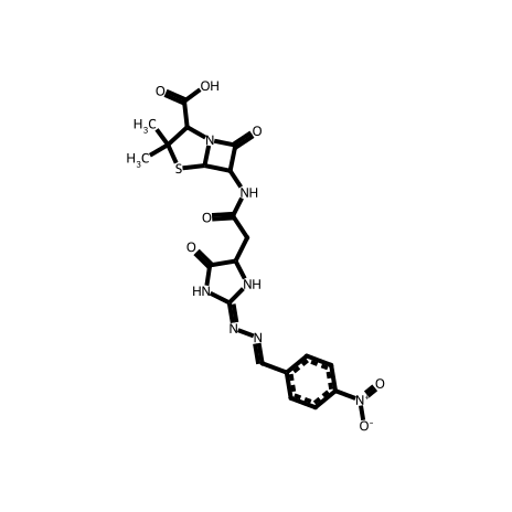 CC1(C)SC2C(NC(=O)CC3N/C(=N\N=C\c4ccc([N+](=O)[O-])cc4)NC3=O)C(=O)N2C1C(=O)O